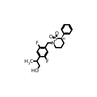 CC(CO)c1cc(F)c(CN2CCC[C@H](c3ccccc3)S2(=O)=O)cc1F